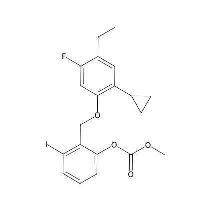 CCc1cc(C2CC2)c(OCc2c(I)cccc2OC(=O)OC)cc1F